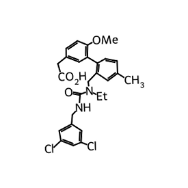 CCN(Cc1cc(C)ccc1-c1cc(CC(=O)O)ccc1OC)C(=O)NCc1cc(Cl)cc(Cl)c1